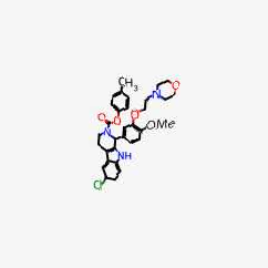 COc1ccc(C2c3[nH]c4c(c3CCN2C(=O)Oc2ccc(C)cc2)=CC(Cl)CC=4)cc1OCCN1CCOCC1